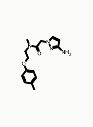 Cc1ccc(OCCN(C)C(=O)Cn2ccc(N)n2)cc1